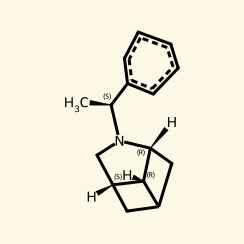 C[C@@H](c1ccccc1)N1C[C@H]2CC3C[C@@H]1[C@H]32